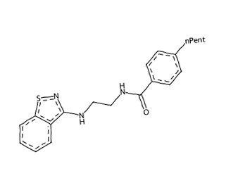 CCCCCc1ccc(C(=O)NCCNc2nsc3ccccc23)cc1